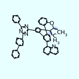 C/C=C1\C(=C/C)Oc2ccccc2C12c1ccc(-c3nc(-c4ccccc4)nc(-c4ccc(-c5ccccc5)cc4)n3)cc1-c1cc(-c3cccc4cccnc34)ccc12